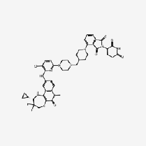 Cn1c(=O)c2c(c3cc(Nc4nc(N5CCN(CC6CCN(c7cccc8c7C(=O)N(C7CCC(=O)NC7=O)C8=O)CC6)CC5)ncc4Cl)ccc31)N[C@@H](C1CC1)C(F)(F)CO2